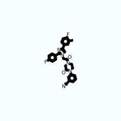 Cc1cc(-c2cn(CC(=O)N3CCN(c4cccc(C#N)c4)C(=O)C3)c(-c3ccc(F)cc3)n2)ccc1F